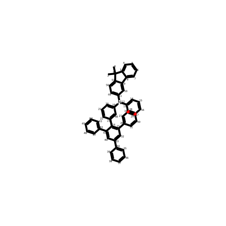 CC1(C)c2ccccc2-c2cc(N(c3ccccc3)c3cccc(-c4c(-c5ccccc5)cc(-c5ccccc5)cc4-c4ccccc4)c3)ccc21